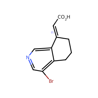 O=C(O)/C=C1\CCCc2c(Br)cncc21